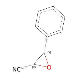 N#C[C@H]1O[C@H]1c1ccccc1